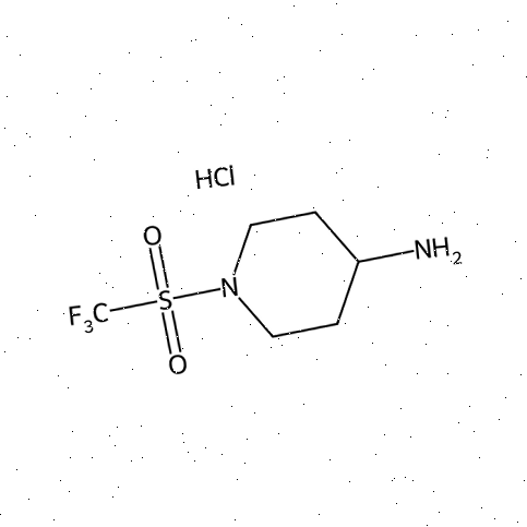 Cl.NC1CCN(S(=O)(=O)C(F)(F)F)CC1